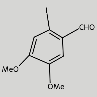 COc1cc(I)c(C=O)cc1OC